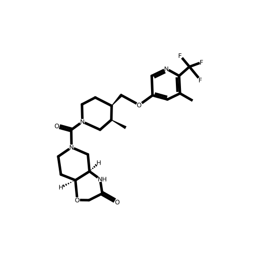 Cc1cc(OC[C@@H]2CCN(C(=O)N3CC[C@@H]4OCC(=O)N[C@@H]4C3)C[C@@H]2C)cnc1C(F)(F)F